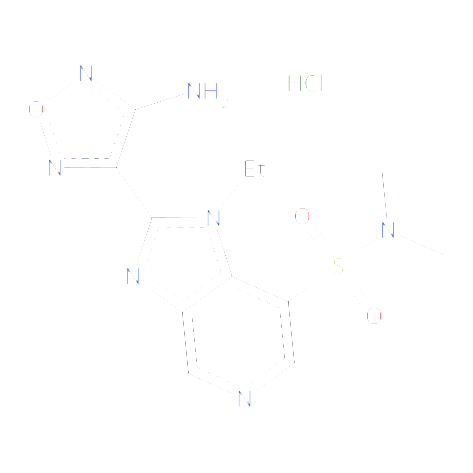 CCn1c(-c2nonc2N)nc2cncc(S(=O)(=O)N(C)C)c21.Cl